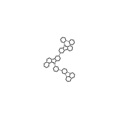 c1ccc(-c2ccccc2-n2c3ccccc3c3cc(-c4ccc5c(c4)c4ccc6ccccc6c4n5-c4cccc(-c5ccc6c(c5)-c5cccc7cccc-6c57)c4)ccc32)cc1